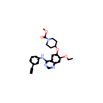 C#Cc1cccc(Nc2ncnc3cc(OCC)c(OC4CCN(C(=O)OC)CC4)cc23)c1